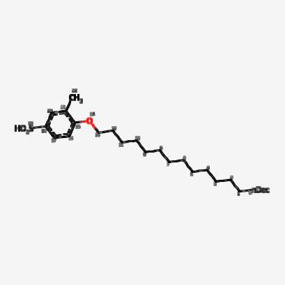 CCCCCCCCCCCCCCCCCCCCCCCOc1ccc(S(=O)(=O)O)cc1C